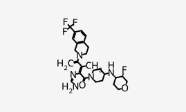 C=C(/C(C)=C(\N=C/N)C(=O)N1CCC(N[C@@H]2CCOC[C@@H]2F)CC1)N1CCc2ccc(C(F)(F)F)cc2C1